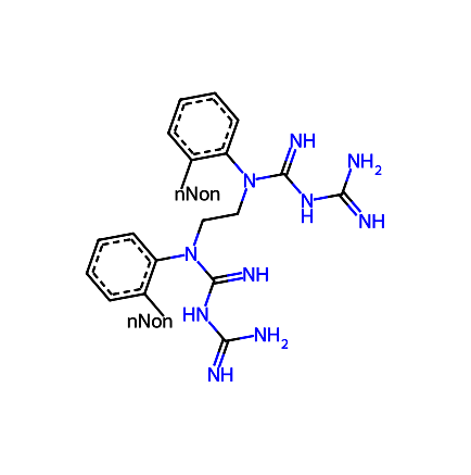 CCCCCCCCCc1ccccc1N(CCN(C(=N)NC(=N)N)c1ccccc1CCCCCCCCC)C(=N)NC(=N)N